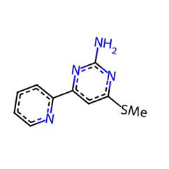 CSc1cc(-c2ccccn2)nc(N)n1